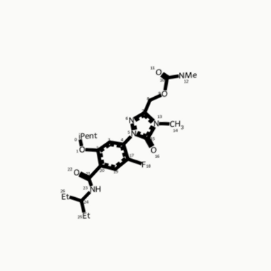 CCCC(C)Oc1cc(-n2nc(COC(=O)NC)n(C)c2=O)c(F)cc1C(=O)NC(CC)CC